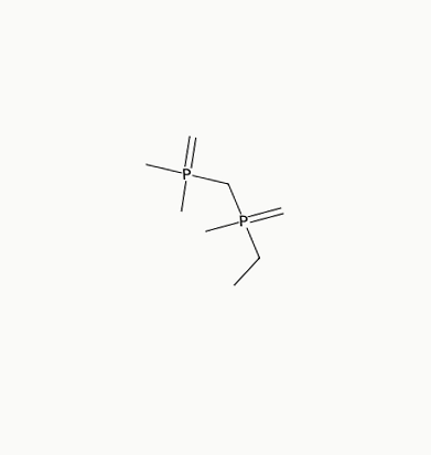 C=P(C)(C)CP(=C)(C)CC